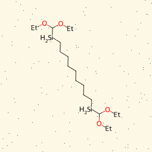 CCOC(OCC)[SiH2]CCCCCCCCC[SiH2]C(OCC)OCC